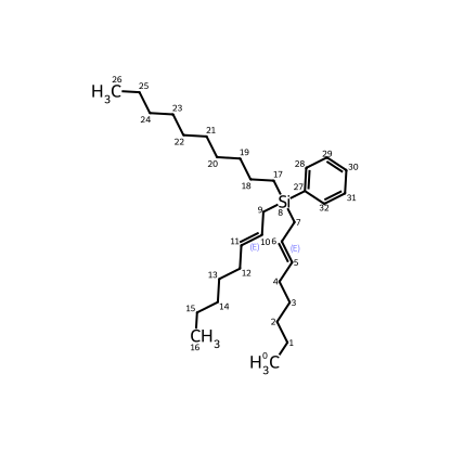 CCCCC/C=C/C[Si](C/C=C/CCCCC)(CCCCCCCCCC)c1ccccc1